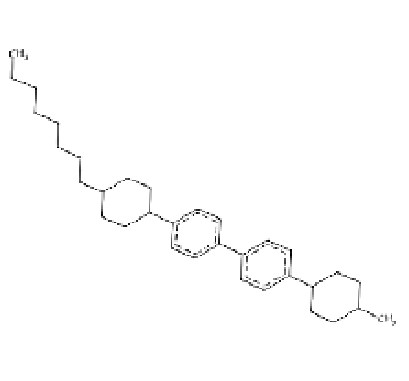 CCCCCCCCC1CCC(c2ccc(-c3ccc(C4CCC(C)CC4)cc3)cc2)CC1